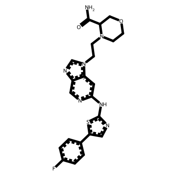 NC(=O)C1COCCN1CCn1cnc2cnc(Nc3ncc(-c4ccc(F)cc4)s3)cc21